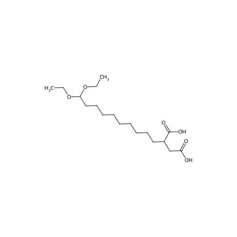 CCOC(CCCCCCCCCC(CC(=O)O)C(=O)O)OCC